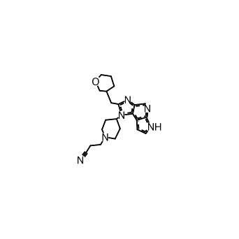 N#CCCN1CCC(n2c(CC3CCCOC3)nc3cnc4[nH]ccc4c32)CC1